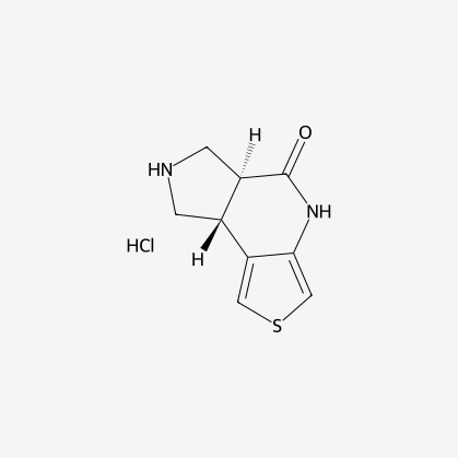 Cl.O=C1Nc2cscc2[C@@H]2CNC[C@@H]12